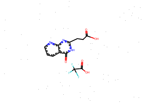 O=C(O)C(F)(F)F.O=C(O)CCc1nc2ncccc2c(=O)[nH]1